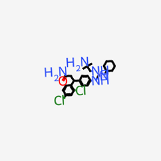 CC(C)(N)CN/C(=N\C1CCCCC1)Nc1ccc(C(CC(N)=O)c2ccc(Cl)cc2Cl)cc1